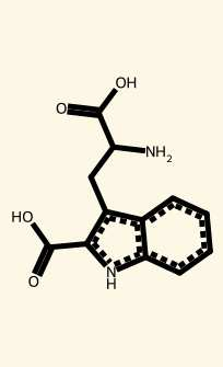 NC(Cc1c(C(=O)O)[nH]c2ccccc12)C(=O)O